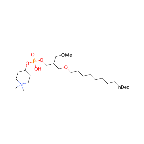 CCCCCCCCCCCCCCCCCCOCC(COC)COP(=O)(O)OC1CC[N+](C)(C)CC1